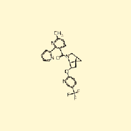 Cc1ccc(C(=O)N2CC3CC34CC(Oc3ccc(C(F)(F)F)cn3)C24)c(-c2ccccn2)n1